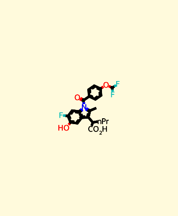 CCCC(C(=O)O)c1c(C)n(C(=O)c2ccc(OC(F)F)cc2)c2cc(F)c(O)cc12